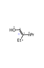 CCC/C(=C/O)CC